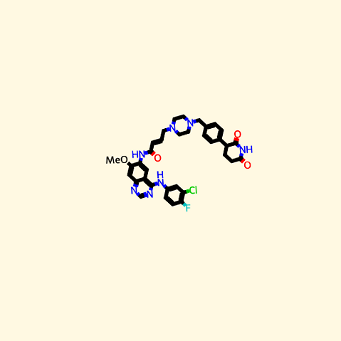 COc1cc2ncnc(Nc3ccc(F)c(Cl)c3)c2cc1NC(=O)/C=C/CN1CCN(Cc2ccc(C3CCC(=O)NC3=O)cc2)CC1